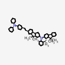 Cc1ccccc1N(c1ccc2c(c1)C(C)(C)c1ccccc1-2)c1ccc2c(c1)C(C)(C)c1cc(/C=C/c3ccc(N(c4ccccc4)c4ccccc4)cc3)ccc1-2